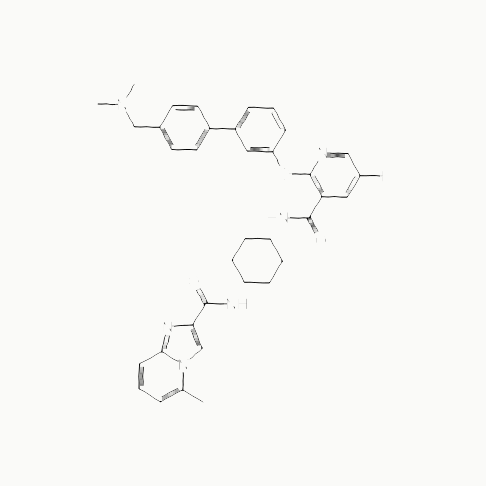 Cc1cccc2nc(C(=O)N[C@H]3CC[C@@H](NC(=O)c4cc(F)cnc4Oc4cccc(-c5ccc(CN(C)C)cc5)c4)CC3)cn12